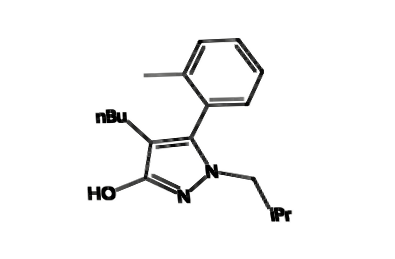 CCCCc1c(O)nn(CC(C)C)c1-c1ccccc1C